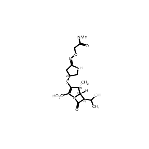 CNC(=O)CON=C1C[C@H](SC2=C(C(=O)O)N3C(=O)[C@H](C(C)O)[C@H]3[C@H]2C)CN1